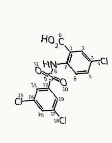 O=C(O)c1cc(Cl)ccc1NS(=O)(=O)c1cc(Cl)cc(Cl)c1